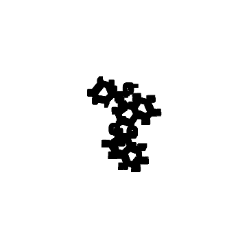 [O-][S+](c1ccccc1)c1cc2c(c3ccccc13)Oc1c(ccc3ccccc13)O2